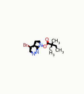 CCC(C)(C)C(=O)On1ccc2c(Br)cnnc21